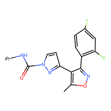 Cc1onc(-c2ccc(F)cc2F)c1-c1ccn(C(=O)NC(C)C)n1